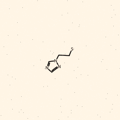 [S]CCn1cncn1